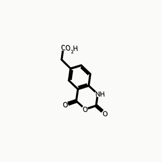 O=C(O)Cc1ccc2[nH]c(=O)oc(=O)c2c1